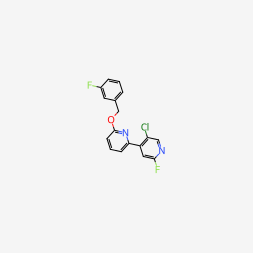 Fc1cccc(COc2cccc(-c3cc(F)ncc3Cl)n2)c1